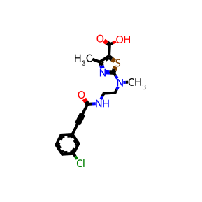 Cc1nc(N(C)CCNC(=O)C#Cc2cccc(Cl)c2)sc1C(=O)O